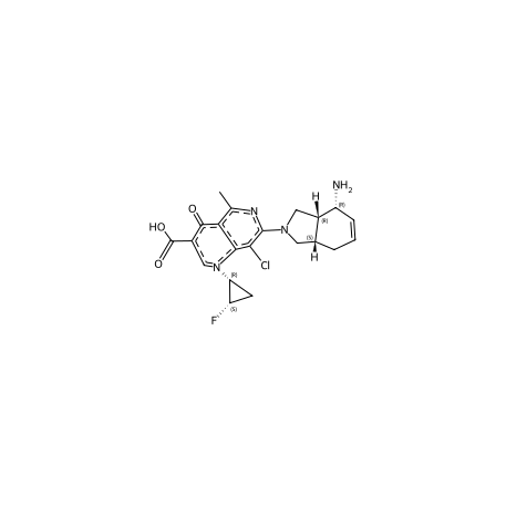 Cc1nc(N2C[C@H]3CC=C[C@@H](N)[C@H]3C2)c(Cl)c2c1c(=O)c(C(=O)O)cn2[C@@H]1C[C@@H]1F